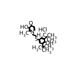 Cc1c(O)c(=O)ccn1CCSc1cc(C(C)(C)C)c(O)c(C(C)(C)C)c1.Cl